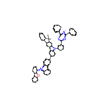 CC1(C)c2ccccc2-c2cc3c4cc(-c5ccc6c(c5)c5ccccc5n6-c5cccc6c5oc5ccccc56)ccc4n(-c4cccc(-c5nc(-c6ccccc6)nc(-c6ccccc6)n5)c4)c3cc21